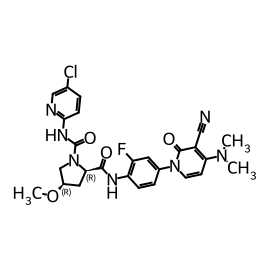 CO[C@@H]1C[C@H](C(=O)Nc2ccc(-n3ccc(N(C)C)c(C#N)c3=O)cc2F)N(C(=O)Nc2ccc(Cl)cn2)C1